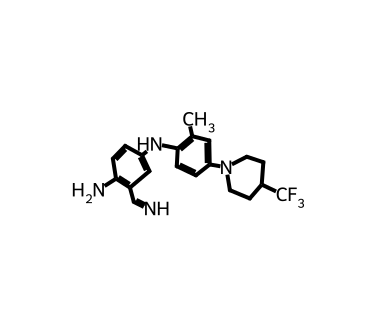 Cc1cc(N2CCC(C(F)(F)F)CC2)ccc1Nc1ccc(N)c(C=N)c1